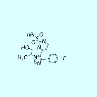 CCCS(=O)(=O)c1nccc(-c2c(-c3ccc(F)cc3)ncn2C(C)CO)n1